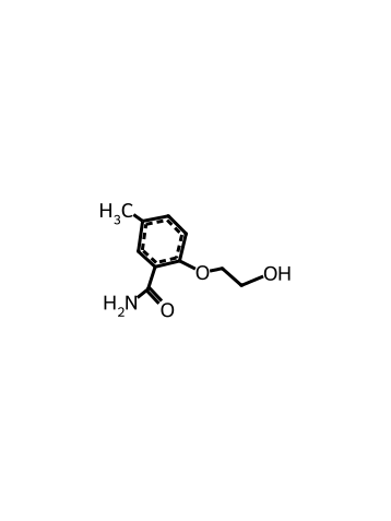 Cc1ccc(OCCO)c(C(N)=O)c1